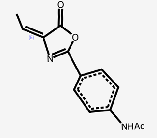 C/C=C1/N=C(c2ccc(NC(C)=O)cc2)OC1=O